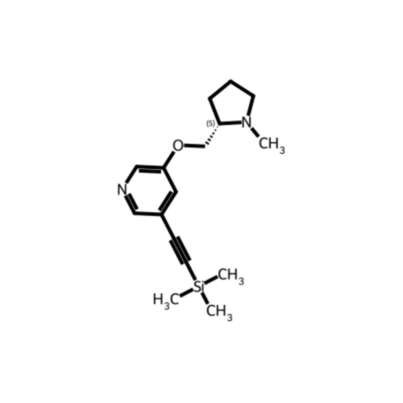 CN1CCC[C@H]1COc1cncc(C#C[Si](C)(C)C)c1